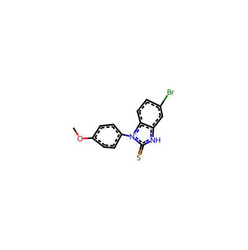 COc1ccc(-n2c(=S)[nH]c3cc(Br)ccc32)cc1